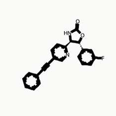 O=C1N[C@H](c2ccc(C#Cc3ccccc3)cn2)[C@@H](c2cccc(F)c2)O1